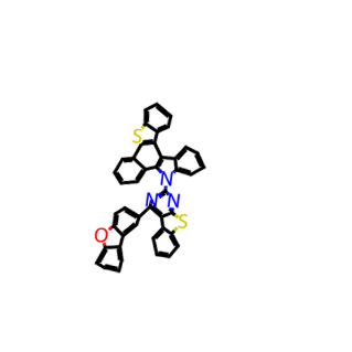 c1ccc2c(c1)oc1ccc(-c3nc(-n4c5ccccc5c5c6c7ccccc7sc6c6ccccc6c54)nc4sc5ccccc5c34)cc12